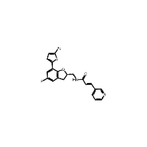 CC(=O)c1ccc(-c2cc(F)cc3c2OC(CNC(=O)/C=C/c2cccnc2)C3)s1